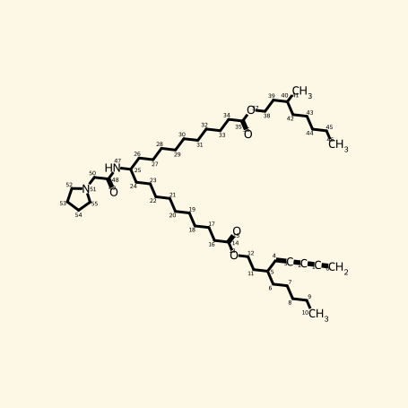 C=C=C=C=CC(CCCCC)CCOC(=O)CCCCCCCCCC(CCCCCCCCCC(=O)OCCC(C)CCCCC)NC(=O)CN1CCCC1